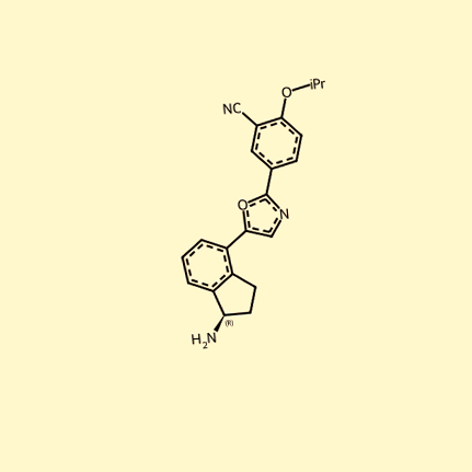 CC(C)Oc1ccc(-c2ncc(-c3cccc4c3CC[C@H]4N)o2)cc1C#N